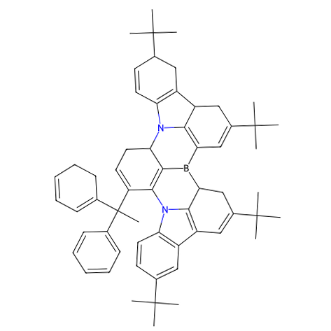 CC(C)(C)C1=CC2=C3C(C1)C1=C(C=CC(C(C)(C)C)C1)N3C1CC=C(C(C)(C3=CC=CCC3)c3ccccc3)C3=C1B2C1CC(C(C)(C)C)=Cc2c1n3c1ccc(C(C)(C)C)cc21